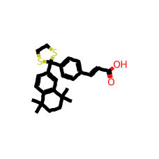 CC1(C)CCC(C)(C)c2cc(C3(c4ccc(/C=C/C(=O)O)cc4)SCCS3)ccc21